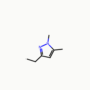 [CH2]Cc1cc(C)n(C)n1